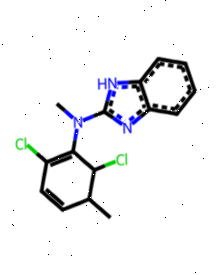 CC1C=CC(Cl)=C(N(C)c2nc3ccccc3[nH]2)C1Cl